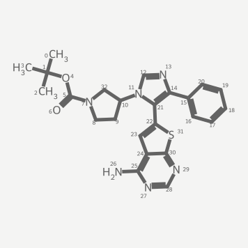 CC(C)(C)OC(=O)N1CCC(n2cnc(-c3ccccc3)c2-c2cc3c(N)ncnc3s2)C1